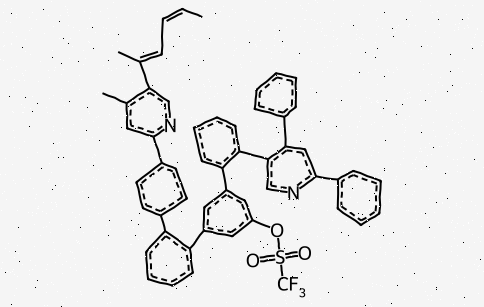 C/C=C\C=C(/C)c1cnc(-c2ccc(-c3ccccc3-c3cc(OS(=O)(=O)C(F)(F)F)cc(-c4ccccc4-c4cnc(-c5ccccc5)cc4-c4ccccc4)c3)cc2)cc1C